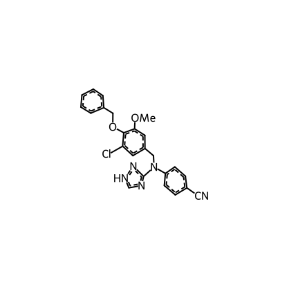 COc1cc(CN(c2ccc(C#N)cc2)c2nc[nH]n2)cc(Cl)c1OCc1ccccc1